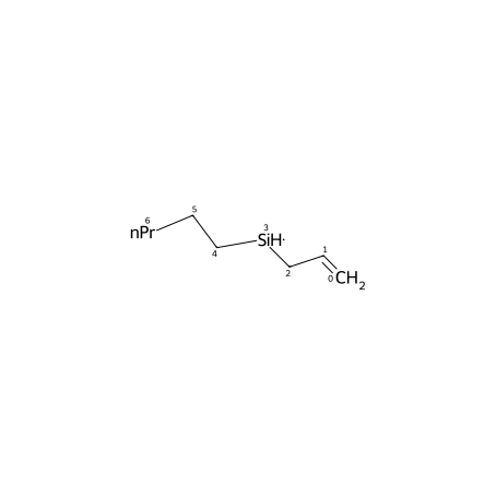 C=CC[SiH]CCCCC